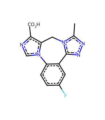 Cc1nnc2n1Cc1c(C(=O)O)ncn1-c1ccc(F)cc1-2